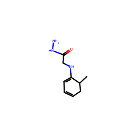 CC1CC=CC=C1NCC(=O)NN